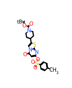 Cc1ccc(S(=O)(=O)Oc2cc(=O)n3cc(C4CCN(C(=O)OC(C)(C)C)CC4)sc3n2)cc1